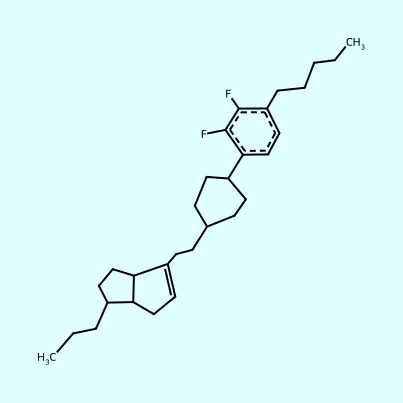 CCCCCc1ccc(C2CCC(CCC3=CCC4C(CCC)CCC34)CC2)c(F)c1F